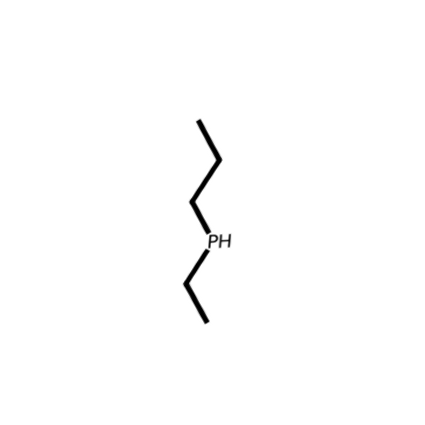 CCCPCC